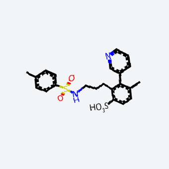 Cc1ccc(S(=O)(=O)NCCCc2c(S(=O)(=O)O)ccc(C)c2-c2cccnc2)cc1